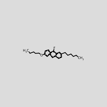 CCCCCCc1ccc2cc3cc(OCCCCC)ccc3c(F)c2c1